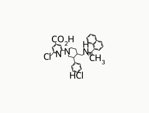 C[C@@H](NCC1CCN(c2cc(C(=O)O)cc(Cl)n2)CC1c1ccccc1)c1cccc2ccccc12.Cl